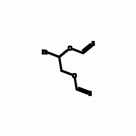 [CH2]CC(COC=S)OC=S